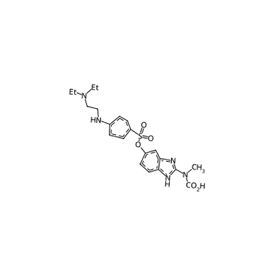 CCN(CC)CCNc1ccc(S(=O)(=O)Oc2ccc3[nH]c(N(C)C(=O)O)nc3c2)cc1